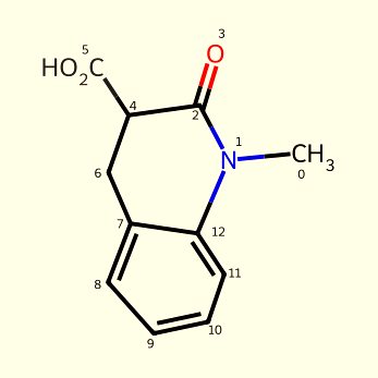 CN1C(=O)C(C(=O)O)Cc2ccccc21